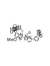 COc1cc(C(=O)N2C[C@H]3CC[C@@H]2[C@@H]3N)cc2nc(-c3cc4ccc(-c5cccc(NS(C)(=O)=O)c5)nc4n3CC3CC3)n(C)c12